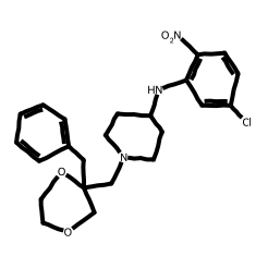 O=[N+]([O-])c1ccc(Cl)cc1NC1CCN(CC2(Cc3ccccc3)COCCO2)CC1